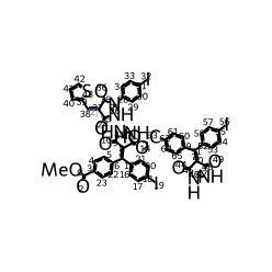 COC(=O)c1ccc(C(=C2C(=O)NNC2=O)c2ccc(I)cc2)cc1.O=C1NN(c2ccc(I)cc2)C(=O)/C1=C\c1cccs1.O=C1NNC(=O)C1=C(c1ccc(I)cc1)c1ccc(C(=O)O)cc1